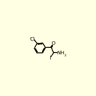 NC(I)C(=O)c1cccc(Cl)c1